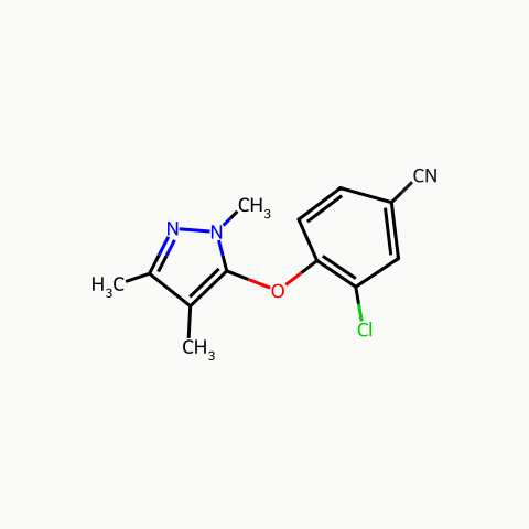 Cc1nn(C)c(Oc2ccc(C#N)cc2Cl)c1C